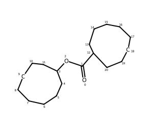 O=C(OC1CCCCCCCC1)C1CCCCCCCC1